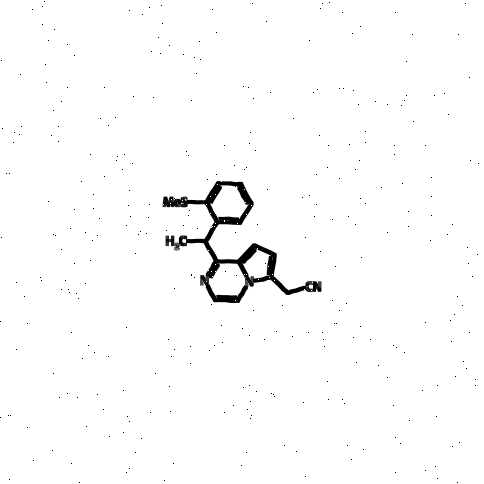 CSc1ccccc1C(C)c1nccn2c(CC#N)ccc12